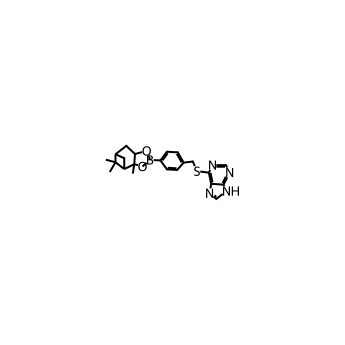 CC1(C)C2CC3OB(c4ccc(CSc5ncnc6[nH]cnc56)cc4)OC3(C)C1C2